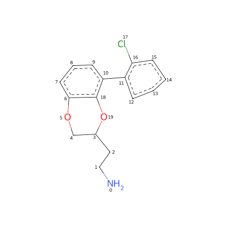 NCCC1COc2cccc(-c3ccccc3Cl)c2O1